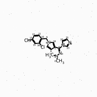 CN(C)/N=C(\c1ccn(Cc2ccc(Cl)cc2Cl)c1)n1ccnc1